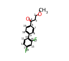 COCCC(=O)c1ccc(-c2ccc(F)cc2F)cc1